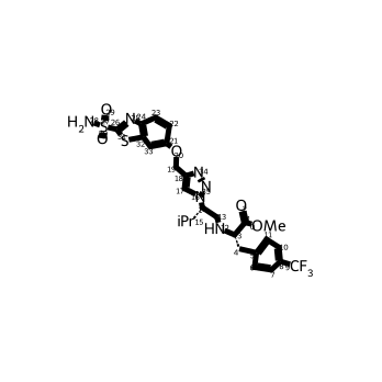 COC(=O)[C@H](Cc1ccc(C(F)(F)F)cc1)NC[C@H](C(C)C)n1cc(COc2ccc3nc(S(N)(=O)=O)sc3c2)nn1